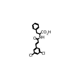 O=C(/C=C/c1cc(Cl)cc(Cl)c1)NC(Cc1ccccc1)C(=O)O